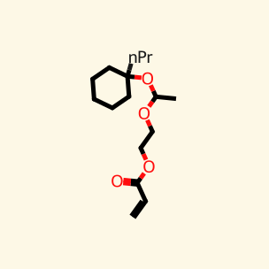 C=CC(=O)OCCOC(C)OC1(CCC)CCCCC1